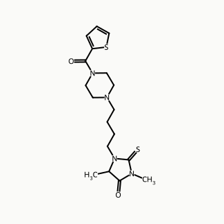 CC1C(=O)N(C)C(=S)N1CCCCN1CCN(C(=O)c2cccs2)CC1